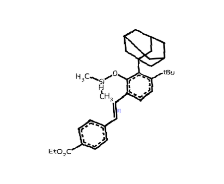 CCOC(=O)c1ccc(/C=C/c2ccc(C(C)(C)C)c(C34CC5CC(CC(C5)C3)C4)c2O[SiH](C)C)cc1